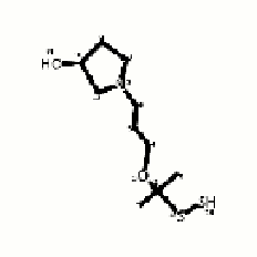 CC(C)(OCCCN1CC[C@H](O)C1)SS